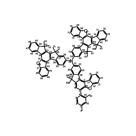 Cc1ccc(-c2cc3c(c4c2oc2ccccc24)-c2ccc(N(c4ccc5c(c4)C(C)(C)c4c6c(c7oc8ccccc8c7c4-5)-c4ccccc4C6(C)C)c4ccc5c(c4)C(C)(C)c4c6c(c7oc8ccccc8c7c4-5)-c4ccccc4C6(C)C)cc2C3(C)C)c(C)c1